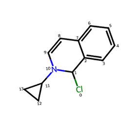 ClC1c2ccccc2C=CN1C1CC1